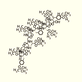 C[C@@H](OC(C)(C)C)[C@H](NC(=O)CNC(=O)[C@H](CCC(=O)OC(C)(C)C)NC(=O)C(C)(C)NC(=O)[C@H](Cc1ccc(OC(C)(C)C)cc1)NC(=O)OC(C)(C)C)C(=O)N[C@@H](Cc1ccccc1)C(=O)N[C@H](C(=O)N[C@@H](COC(C)(C)C)C(=O)N[C@@H](CC(=O)OC(C)(C)C)C(=O)N[C@@H](Cc1ccc(OC(C)(C)C)cc1)C(=O)O)[C@@H](C)OC(C)(C)C